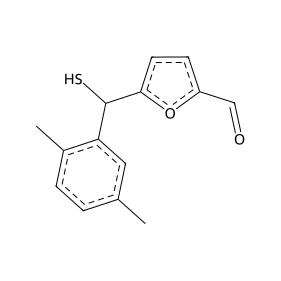 Cc1ccc(C)c(C(S)c2ccc(C=O)o2)c1